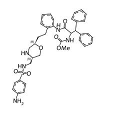 COC(=O)NC(C(=O)Nc1ccccc1CC[C@@H]1CN[C@H](CNS(=O)(=O)c2ccc(N)cc2)CO1)C(c1ccccc1)c1ccccc1